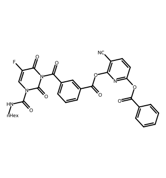 CCCCCCNC(=O)n1cc(F)c(=O)n(C(=O)c2cccc(C(=O)Oc3nc(OC(=O)c4ccccc4)ccc3C#N)c2)c1=O